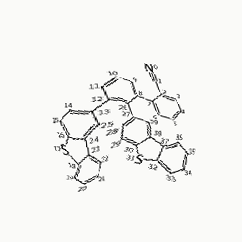 N#Cc1ccccc1-c1cccc(-c2ccc3sc4ccccc4c3c2)c1-c1ccc2sc3ccccc3c2c1